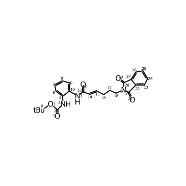 CC(C)(C)OC(=O)Nc1ccccc1NC(=O)C=CCCCN1C(=O)c2ccccc2C1=O